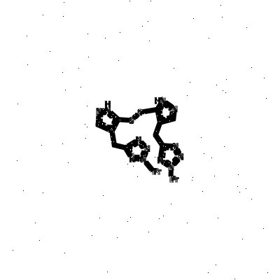 CC(C)n1nnc(Cc2cn[nH]c2SSc2[nH]ncc2Cc2nnn(C(C)C)n2)n1